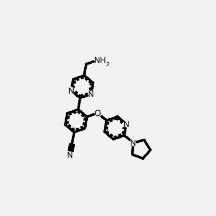 N#Cc1ccc(-c2ncc(CN)cn2)c(Oc2ccc(N3CCCC3)nc2)c1